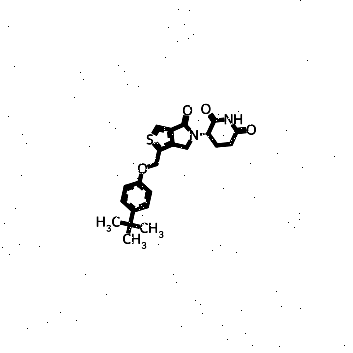 CC(C)(C)c1ccc(OCc2scc3c2CN([C@H]2CCC(=O)NC2=O)C3=O)cc1